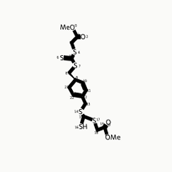 COC(=O)CSC(=S)SC[C@H]1C=CC(CSC(S)SCC(=O)OC)=CC1